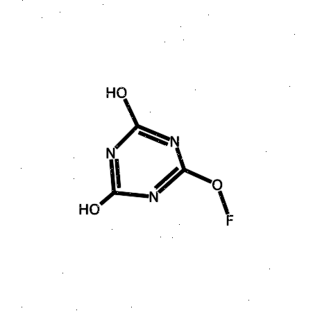 Oc1nc(O)nc(OF)n1